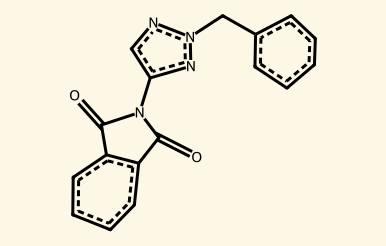 O=C1c2ccccc2C(=O)N1c1cnn(Cc2ccccc2)n1